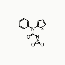 O=C(N=S(=O)=O)N(c1ccccc1)c1cccs1